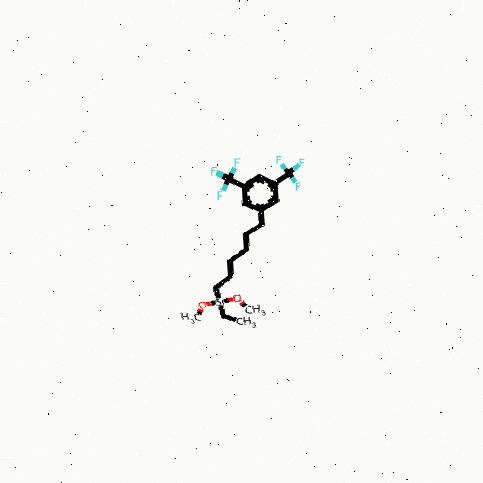 CC[Si](CCCCCCc1cc(C(F)(F)F)cc(C(F)(F)F)c1)(OC)OC